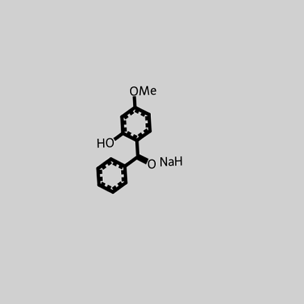 COc1ccc(C(=O)c2ccccc2)c(O)c1.[NaH]